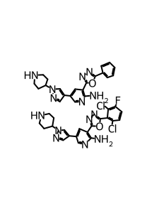 Nc1ncc(-c2cnn(C3CCNCC3)c2)cc1-c1nnc(-c2c(Cl)ccc(F)c2Cl)o1.Nc1ncc(-c2cnn(C3CCNCC3)c2)cc1-c1nnc(-c2ccccc2)o1